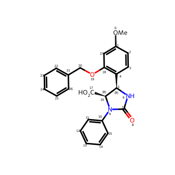 COc1ccc([C@H]2NC(=O)N(c3ccccc3)[C@H]2C(=O)O)c(OCc2ccccc2)c1